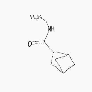 NNC(=O)C1CC2CC1C2